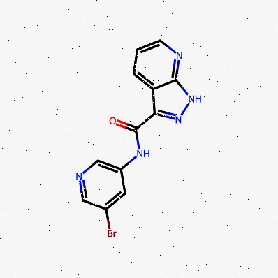 O=C(Nc1cncc(Br)c1)c1n[nH]c2ncccc12